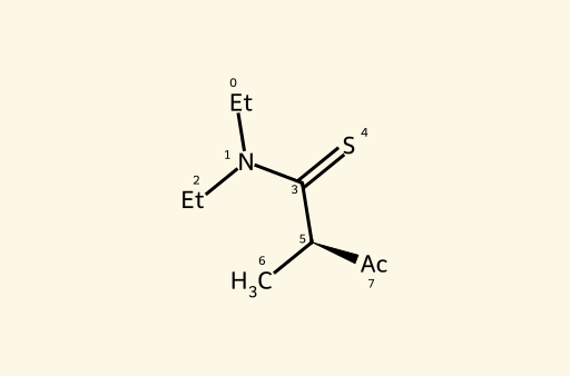 CCN(CC)C(=S)[C@H](C)C(C)=O